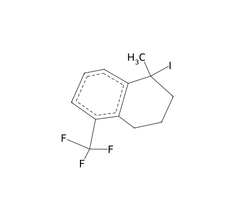 CC1(I)CCCc2c(C(F)(F)F)cccc21